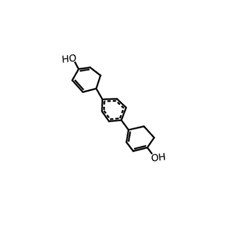 OC1=CCC(c2ccc(C3=CC=C(O)CC3)cc2)C=C1